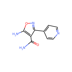 NC(=O)c1c(-c2ccncc2)noc1N